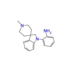 CN1CCC2(CC1)CN(c1ccccc1N)c1ccccc12